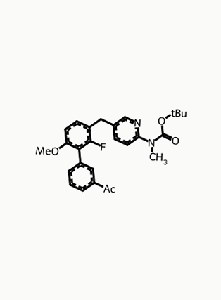 COc1ccc(Cc2ccc(N(C)C(=O)OC(C)(C)C)nc2)c(F)c1-c1cccc(C(C)=O)c1